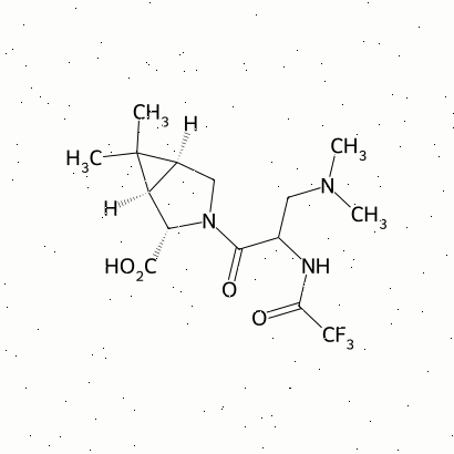 CN(C)CC(NC(=O)C(F)(F)F)C(=O)N1C[C@H]2[C@@H]([C@H]1C(=O)O)C2(C)C